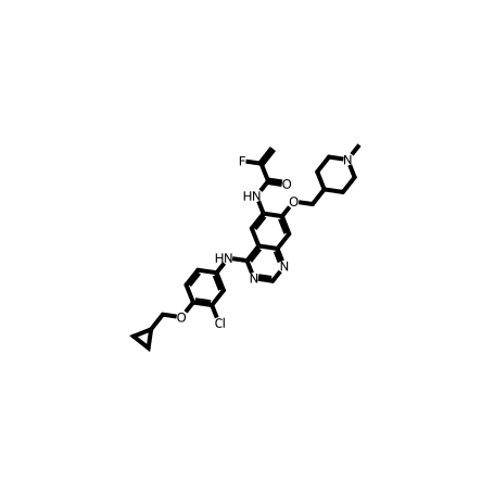 C=C(F)C(=O)Nc1cc2c(Nc3ccc(OCC4CC4)c(Cl)c3)ncnc2cc1OCC1CCN(C)CC1